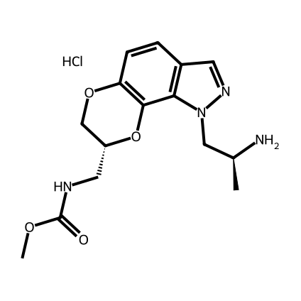 COC(=O)NC[C@@H]1COc2ccc3cnn(C[C@H](C)N)c3c2O1.Cl